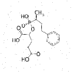 CC(CCc1ccccc1)P(=O)(O)OC(CCC(=O)O)C(=O)O